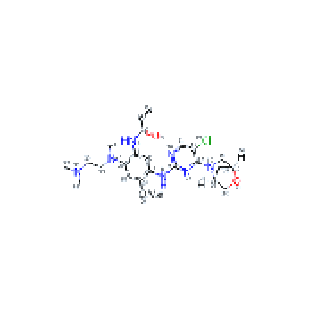 C=CC(=O)Nc1cc(Nc2ncc(Cl)c(N3C[C@@H]4C[C@H]3CO4)n2)c(OC)cc1N(C)CCN(C)C